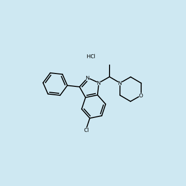 CC(N1CCOCC1)n1nc(-c2ccccc2)c2cc(Cl)ccc21.Cl